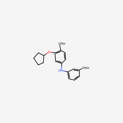 COc1cccc(Nc2ccc(OC)c(OC3CCCC3)c2)c1